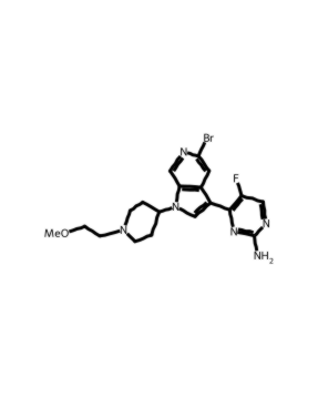 COCCN1CCC(n2cc(-c3nc(N)ncc3F)c3cc(Br)ncc32)CC1